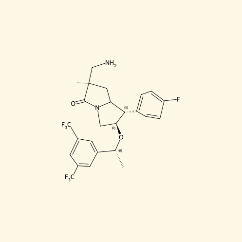 C[C@@H](O[C@H]1CN2C(=O)C(C)(CN)CC2[C@@H]1c1ccc(F)cc1)c1cc(C(F)(F)F)cc(C(F)(F)F)c1